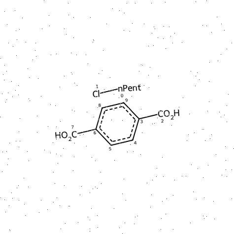 CCCCCCl.O=C(O)c1ccc(C(=O)O)cc1